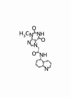 Cn1c(=O)[nH]c(=O)c2c1ncn2CC(=O)Nc1cccc2ncccc12